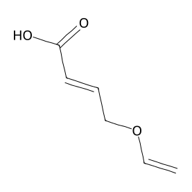 C=COCC=CC(=O)O